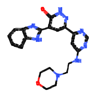 O=c1[nH]nc(-c2cc(NCCN3CCOCC3)ncn2)cc1-c1nc2ccccc2[nH]1